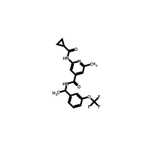 Cc1cc(C(=O)NC(C)c2cccc(OC(F)(F)F)c2)cc(NC(=O)C2CC2)n1